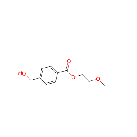 COCCOC(=O)c1ccc(CO)cc1